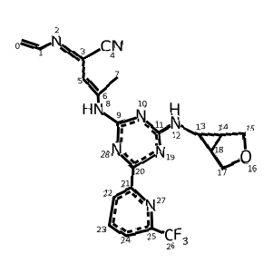 C=C/N=C(C#N)\C=C(/C)Nc1nc(NC2C3COCC32)nc(-c2cccc(C(F)(F)F)n2)n1